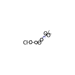 CCC(C)OC(=O)/C=C/c1ccc(Oc2ccc(-c3ccc(Cl)cc3)cc2)cc1